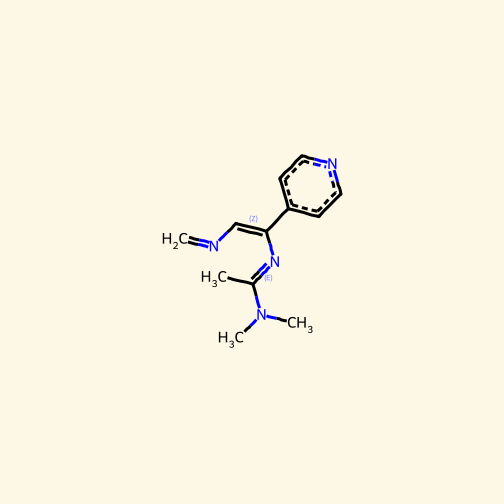 C=N/C=C(\N=C(/C)N(C)C)c1ccncc1